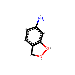 Nc1ccc2c(c1)OOC2